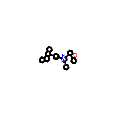 c1ccc(-c2cc(-c3cccc4oc5ccccc5c34)nc(-c3ccc(-c4c5ccccc5cc5c4ccc4ccccc45)cc3)n2)cc1